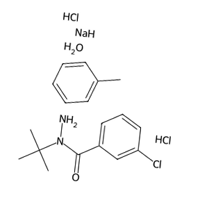 CC(C)(C)N(N)C(=O)c1cccc(Cl)c1.Cc1ccccc1.Cl.Cl.O.[NaH]